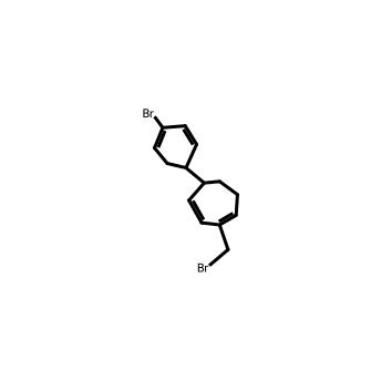 BrCC1=CCCC(C2C=CC(Br)=CC2)C=C1